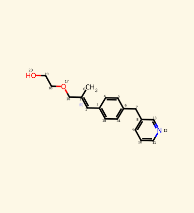 C/C(=C\c1ccc(Cc2cccnc2)cc1)COCCO